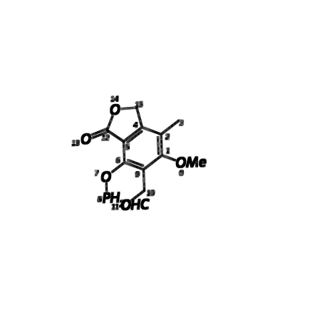 COc1c(C)c2c(c(OP)c1CC=O)C(=O)OC2